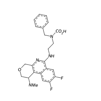 CNC1COCc2nc(NCCN(Cc3ccccc3)C(=O)O)c3cc(F)c(F)cc3c21